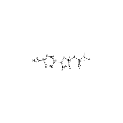 CNC(=O)Cn1cc(-c2ccc(N)cc2)nn1